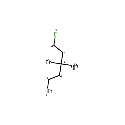 CCCC(CC)(CCF)CCC(C)C